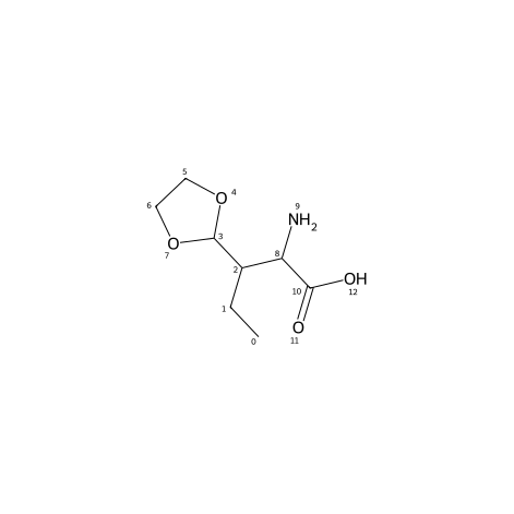 CCC(C1OCCO1)C(N)C(=O)O